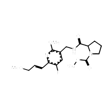 COCC=Cc1nc(OC)c(CNC(=O)C2CCCN2C(=O)OC(C)(C)C)cc1F